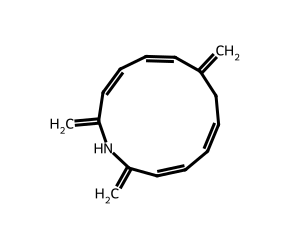 C=C1/C=C\C=C/C(=C)NC(=C)/C=C\C=C/C1